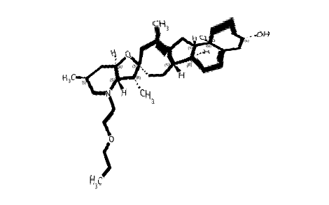 CCCOCCN1C[C@@H](C)C[C@H]2O[C@]3(CC[C@@H]4C(=C(C)C3)C[C@H]3[C@H]4CC=C4C[C@@H](O)CC[C@@]43C)[C@H](C)[C@@H]21